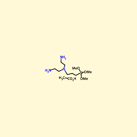 CC(=O)O.CO[Si](CCCN(CCN)CCN)(OC)OC